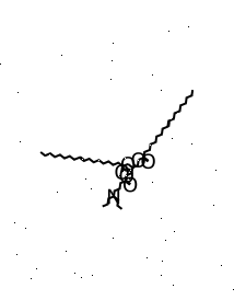 CCCCCCCCC=CCCCCCCCC(=O)OCC(COC(=O)CCCN(CCC)CCC)OC(=O)CCCCCCCC=CCCCCCCCC